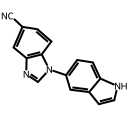 N#Cc1ccc2c(c1)ncn2-c1ccc2[nH]ccc2c1